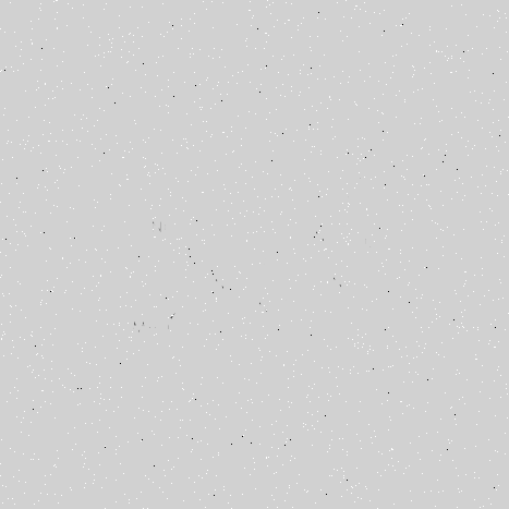 CO[C@H]1C[C@H](C#N)CN(c2nc3ccnc(NC(=O)C4CC4)c3s2)C1